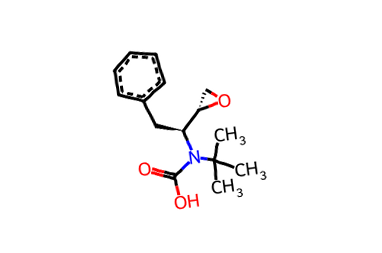 CC(C)(C)N(C(=O)O)[C@@H](Cc1ccccc1)[C@@H]1CO1